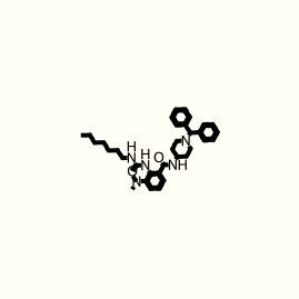 CCCCCCCNC(=O)Nc1c(C(=O)NC2CCN(C(c3ccccc3)c3ccccc3)CC2)cccc1N(C)C